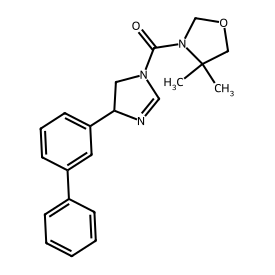 CC1(C)COCN1C(=O)N1C=NC(c2cccc(-c3ccccc3)c2)C1